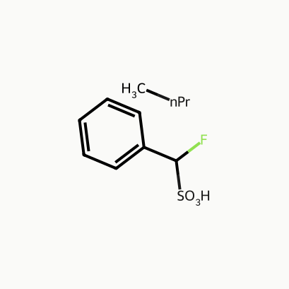 CCCC.O=S(=O)(O)C(F)c1ccccc1